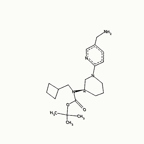 CC(C)(C)OC(=O)N(CC1CCC1)[C@@H]1CCCN(c2ccc(CN)cn2)C1